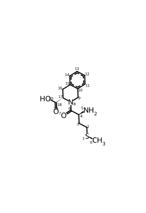 CSCC[C@H](N)C(=O)N1Cc2ccccc2C[C@H]1C(=O)O